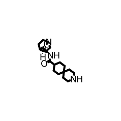 O=C(N[C@@H]1CN2CCC1CC2)C1CCC2(CCNCC2)CC1